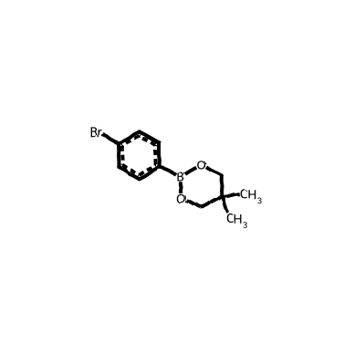 CC1(C)COB(c2ccc(Br)cc2)OC1